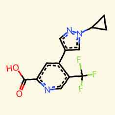 O=C(O)c1cc(-c2cnn(C3CC3)c2)c(C(F)(F)F)cn1